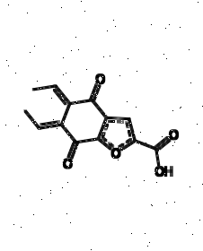 C/C=C1/C(=O)c2cc(C(=O)O)oc2C(=O)/C1=C/C